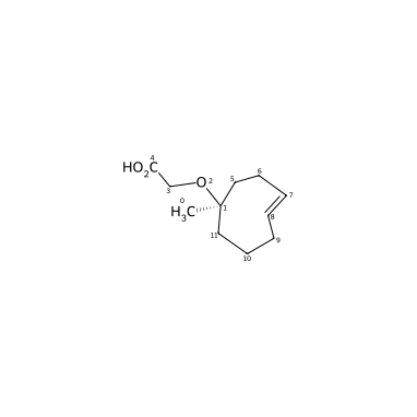 C[C@]1(OCC(=O)O)CC/C=C/CCC1